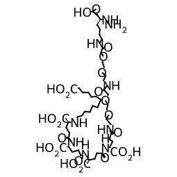 NN[C@@H](CCCCNC(=O)COCCOCCNC(=O)COCCOCCNC(=O)CC[C@H](NC(=O)CC[C@H](NC(=O)CC[C@H](NC(=O)CC[C@H](NCCCCCCCCCCCCC(=O)O)C(=O)O)C(=O)O)C(=O)O)C(=O)O)C1OC1O